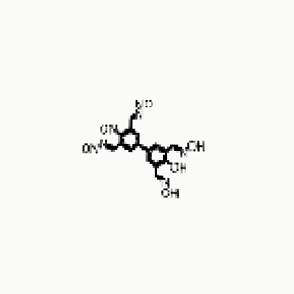 O=N/N=C/c1cc(-c2cc(/C=N/O)c(O)c(/C=N/O)c2)cc(/C=N/N=O)c1N=O